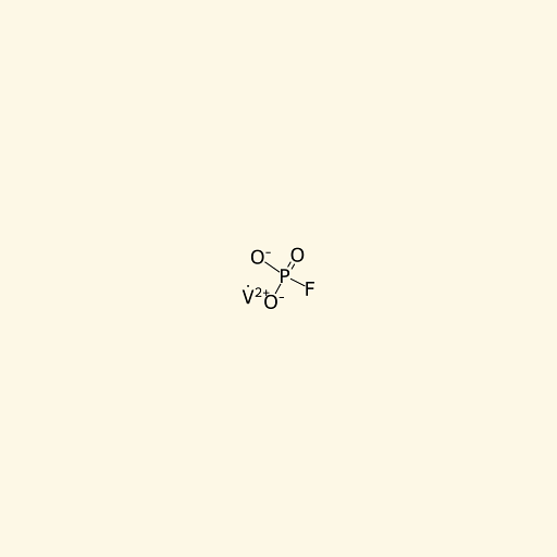 O=P([O-])([O-])F.[V+2]